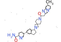 Cc1ccn2cc(CC(=O)N3CCC4(CC3)CN(C3CCc5cc(-c6ccc(C(N)=O)nc6)ccc53)C4)nc2c1